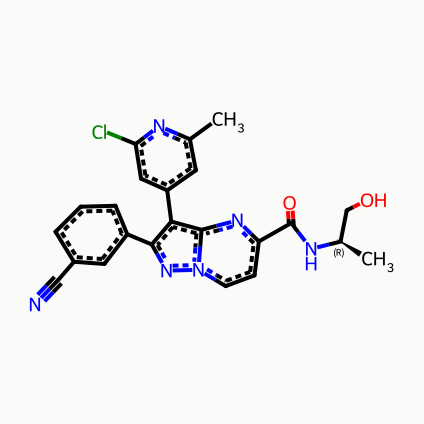 Cc1cc(-c2c(-c3cccc(C#N)c3)nn3ccc(C(=O)N[C@H](C)CO)nc23)cc(Cl)n1